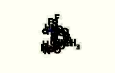 C[C@@H]1NC(=O)[C@H](COC(=O)c2ccc(N=[N+]=[N-])cc2)N(C)C(=O)[C@@H]2CCCN2C(=O)[C@@H](NC(=O)[C@H](Cc2cc(F)cc(F)c2)NC(=O)/C=C/C2CCCCC2)COC(=O)[C@@H]2CCCN2C1=O